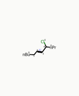 CCCCC/C=C/C(Cl)CCC